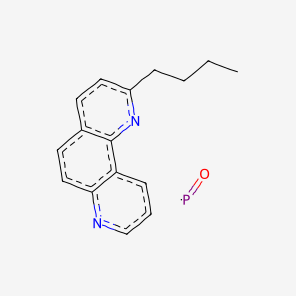 CCCCc1ccc2ccc3ncccc3c2n1.O=[P]